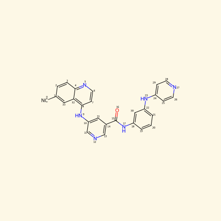 N#Cc1ccc2nccc(Nc3cncc(C(=O)Nc4cccc(Nc5ccncc5)c4)c3)c2c1